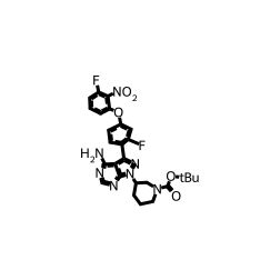 CC(C)(C)OC(=O)N1CCCC(n2nc(-c3ccc(Oc4cccc(F)c4[N+](=O)[O-])cc3F)c3c(N)ncnc32)C1